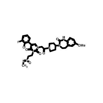 C/N=[SH](=O)/CCn1c(=O)c(-c2cccc(F)c2Cl)cn(CC(=O)N2CCC(N3CCc4cc(OC)ccc4NC3=O)CC2)c1=O